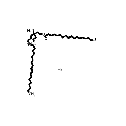 Br.CCCCCCCCC=CCCCCCCCC(=O)OCCC(N)(CCCN)CCOC(=O)CCCCCCCC=CCCCCCCCC